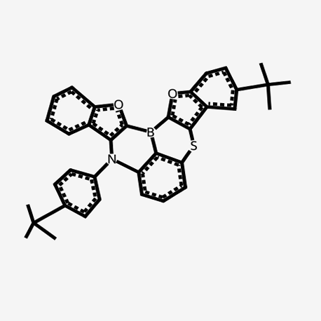 CC(C)(C)c1ccc(N2c3cccc4c3B(c3oc5ccc(C(C)(C)C)cc5c3S4)c3oc4ccccc4c32)cc1